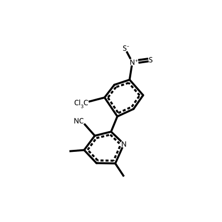 Cc1cc(C)c(C#N)c(-c2ccc([N+](=S)[S-])cc2C(Cl)(Cl)Cl)n1